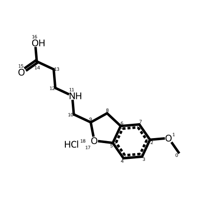 COc1ccc2c(c1)CC(CNCCC(=O)O)O2.Cl